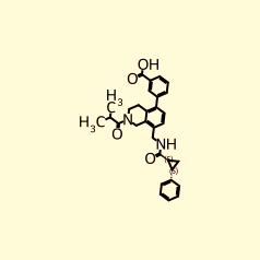 CC(C)C(=O)N1CCc2c(-c3cccc(C(=O)O)c3)ccc(CNC(=O)[C@H]3C[C@@H]3c3ccccc3)c2C1